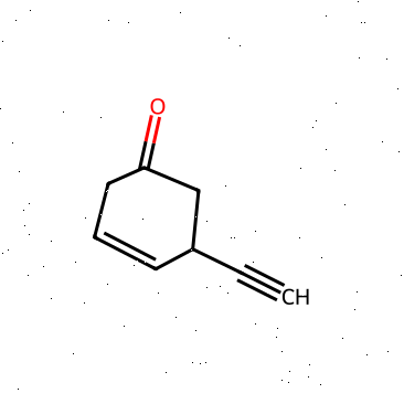 C#CC1C=CCC(=O)C1